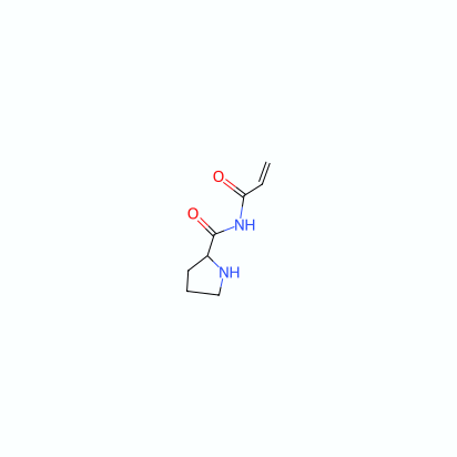 C=CC(=O)NC(=O)C1CCCN1